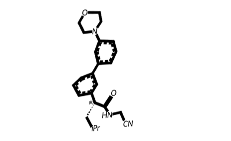 CC(C)C[C@@H](C(=O)NCC#N)c1cccc(-c2cccc(N3CCOCC3)c2)c1